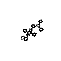 c1ccc(-c2nc(-c3ccccc3)nc(-c3cccc(-c4cc5c(-c6ccccc6)c6sc(-c7cccc8nccnc78)cc6c(-c6ccccc6)c5s4)c3)n2)cc1